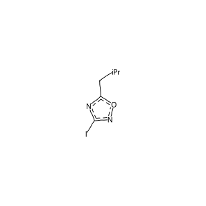 CC(C)Cc1nc(I)no1